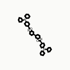 c1ccc(N(c2ccccc2)c2ccc(-c3nc4ccc(-c5ccc6nc(-c7ccc(N(c8ccccc8)c8ccccc8)cc7)oc6c5)cc4o3)cc2)cc1